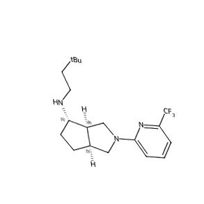 CC(C)(C)CCN[C@H]1CC[C@@H]2CN(c3cccc(C(F)(F)F)n3)C[C@@H]21